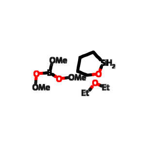 C1CC[SiH2]OC1.CCOCC.COOB(OC)OOC